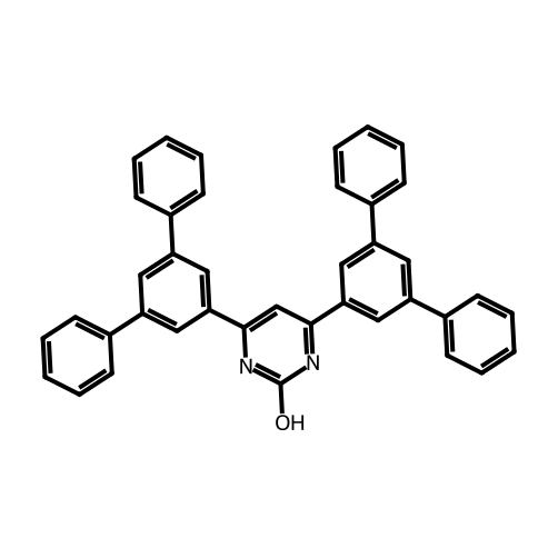 Oc1nc(-c2cc(-c3ccccc3)cc(-c3ccccc3)c2)cc(-c2cc(-c3ccccc3)cc(-c3ccccc3)c2)n1